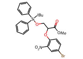 COC(=O)C(CO[Si](c1ccccc1)(c1ccccc1)C(C)(C)C)Oc1ccc(Br)cc1[N+](=O)[O-]